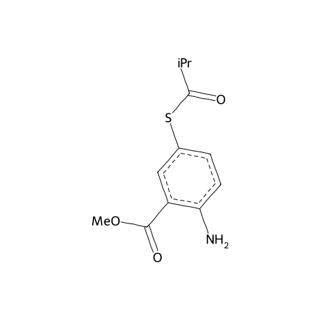 COC(=O)c1cc(SC(=O)C(C)C)ccc1N